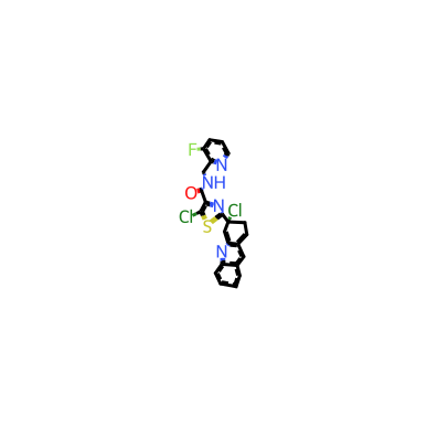 O=C(NCc1ncccc1F)c1nc(C2(Cl)C=c3nc4ccccc4cc3=CC2)sc1Cl